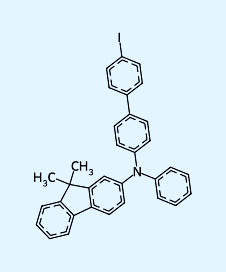 CC1(C)c2ccccc2-c2ccc(N(c3ccccc3)c3ccc(-c4ccc(I)cc4)cc3)cc21